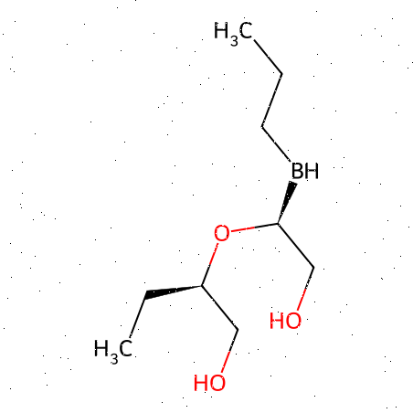 CCCB[C@@H](CO)O[C@H](CC)CO